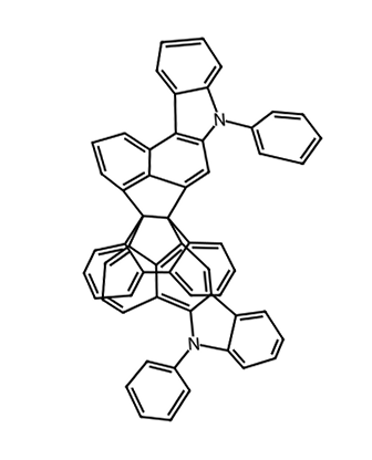 c1ccc(-n2c3ccccc3c3c4cccc5c4c(cc32)C23c4ccccc4-c4ccccc4C52c2cccc4c2c3cc2c3ccccc3n(-c3ccccc3)c42)cc1